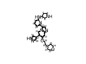 c1cc(NC2CCNC2)nc(-c2cnc3cc(OCCN4CCOCC4)c(-c4cn[nH]c4)cn23)c1